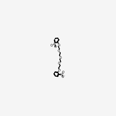 O=[N+]([O-])c1ccccc1OCCOCCOCCOCCOc1ccccc1[N+](=O)[O-]